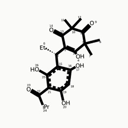 CC[C@H](C1=C(O)C(C)(C)C(=O)C(C)(C)C1=O)c1c(O)cc(O)c(C(=O)C(C)C)c1O